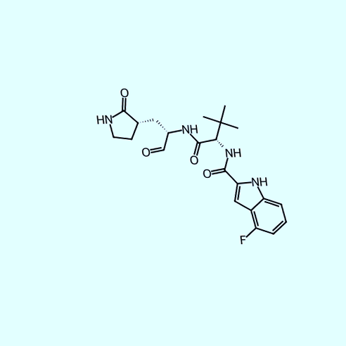 CC(C)(C)[C@H](NC(=O)c1cc2c(F)cccc2[nH]1)C(=O)N[C@H](C=O)C[C@@H]1CCNC1=O